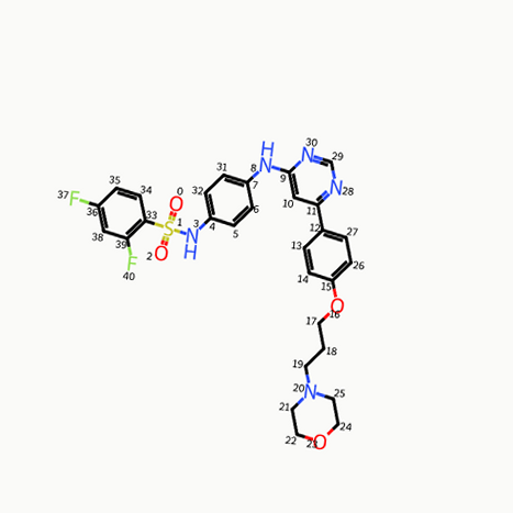 O=S(=O)(Nc1ccc(Nc2cc(-c3ccc(OCCCN4CCOCC4)cc3)ncn2)cc1)c1ccc(F)cc1F